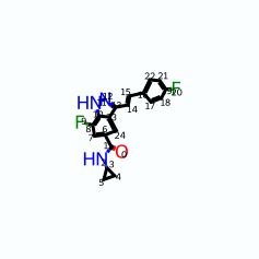 O=C(NC1CC1)c1cc(F)c2[nH]nc(/C=C/c3ccc(F)cc3)c2c1